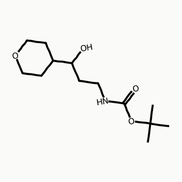 CC(C)(C)OC(=O)NCCC(O)C1CCOCC1